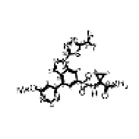 COc1cc(-c2cc(S(=O)(=O)NC3(C(N)=O)CC3)cc3c2cnn3-c2nnc(C(F)F)s2)ncn1